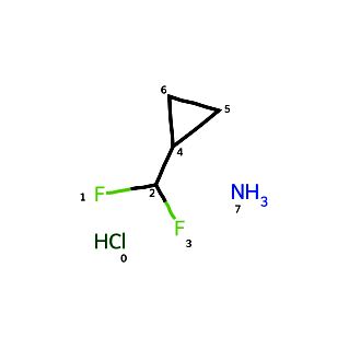 Cl.FC(F)C1CC1.N